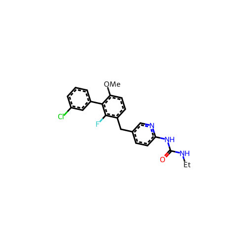 CCNC(=O)Nc1ccc(Cc2ccc(OC)c(-c3cccc(Cl)c3)c2F)cn1